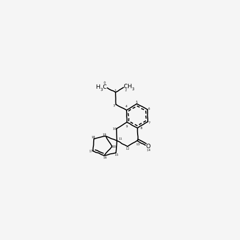 CC(C)Cc1cccc2c1CC1(CC2=O)CC2=CCC1C2